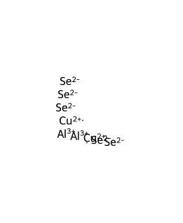 [Al+3].[Al+3].[Cu+2].[Cu+2].[Se-2].[Se-2].[Se-2].[Se-2].[Se-2]